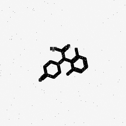 Cc1cccc(C)c1C(C(N)=O)N1CCC(=O)CC1